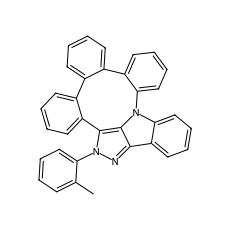 Cc1ccccc1-n1nc2c3ccccc3n3c4ccccc4c4ccccc4c4ccccc4c1c23